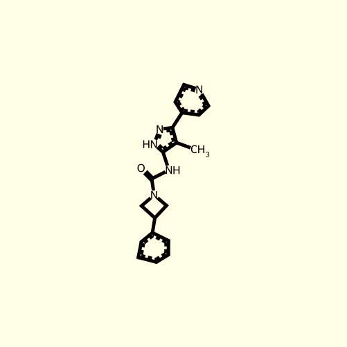 Cc1c(-c2ccncc2)n[nH]c1NC(=O)N1CC(c2ccccc2)C1